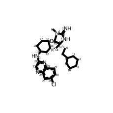 CN1C(=N)N[C@@](CCC2CCCCC2)(C[C@H]2CCCC(Nc3cnc4cc(Cl)ccc4n3)C2)C1=O